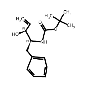 C=C[C@H](O)[C@H](Cc1ccccc1)NC(=O)OC(C)(C)C